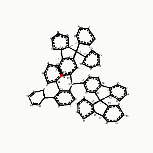 C1=CCC(c2cccc(N(c3ccc4c(c3)C(c3ccccc3)(c3ccccc3)c3ccccc3-4)c3ccc4c(c3)C3(c5ccccc5-c5ccccc53)c3ccccc3-4)c2-c2ccccc2)C=C1